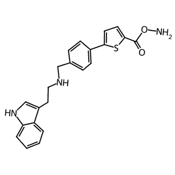 NOC(=O)c1ccc(-c2ccc(CNCCc3c[nH]c4ccccc34)cc2)s1